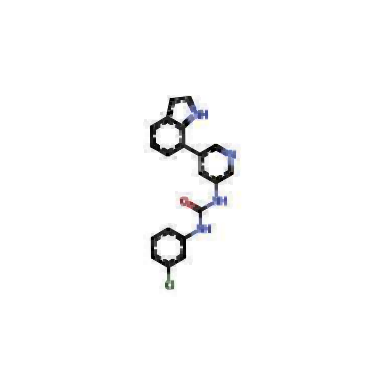 O=C(Nc1cccc(Cl)c1)Nc1cncc(-c2cccc3cc[nH]c23)c1